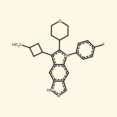 O=C(O)C1CC(c2c(C3CCOCC3)n(-c3ccc(F)cc3)c3cc4cn[nH]c4cc23)C1